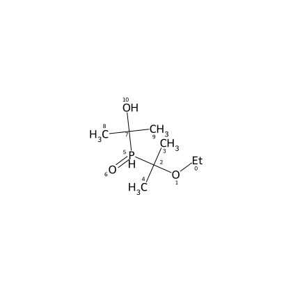 CCOC(C)(C)[PH](=O)C(C)(C)O